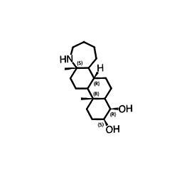 C[C@]12CC[C@H](O)[C@H](O)C1CC[C@@H]1C2CC[C@]2(C)NCCCCC12